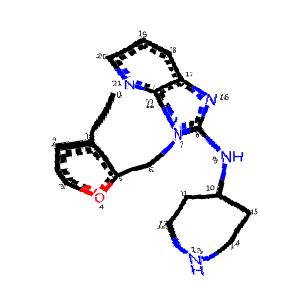 Cc1ccoc1Cn1c(NC2CCNCC2)nc2cccnc21